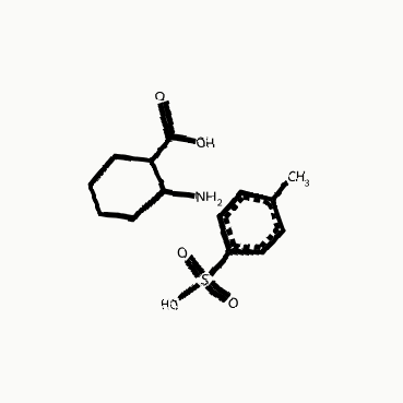 Cc1ccc(S(=O)(=O)O)cc1.NC1CCCCC1C(=O)O